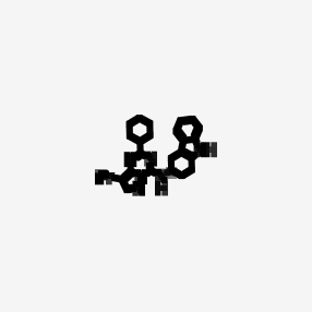 CC(C)c1cnn2c(N[C@@H]3CCc4[nH]c5ccccc5c4C3)nc(C3CCCCC3)nc12